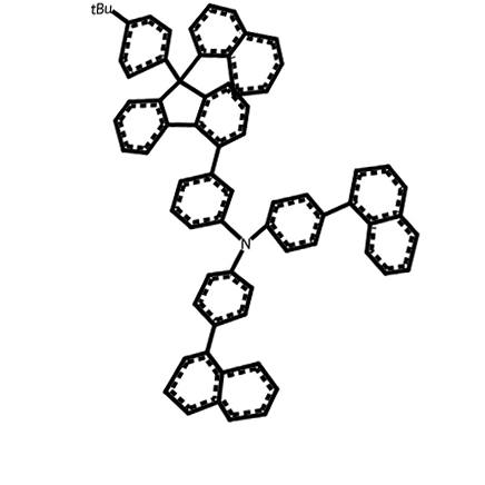 CC(C)(C)c1ccc(C2(c3cccc4ccccc34)c3ccccc3-c3c(-c4cccc(N(c5ccc(-c6cccc7ccccc67)cc5)c5ccc(-c6cccc7ccccc67)cc5)c4)cccc32)cc1